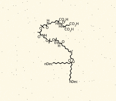 CCCCCCCCCCCCCCCCCCC1(CCCCCCCCCCCCCCCCCC)OCC(CCN(C)CCCCCC(=O)NCC(C)(CC)OCC(C)(C)OCCNC(=O)C(C)COC(C)(C)CC(=O)NCCCC[C@@H](NC(=O)N[C@H](CCC(=O)O)C(=O)O)C(=O)O)O1